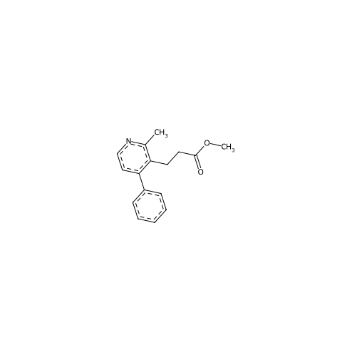 COC(=O)CCc1c(-c2ccccc2)ccnc1C